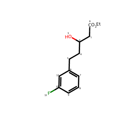 CCOC(=O)CC(O)CCc1cccc(F)c1